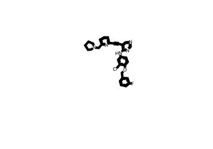 Fc1cccc(COc2ccc(Nc3ncncc3C#Cc3cccc(CN4CCCCC4)n3)cc2Cl)c1